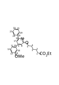 CCOC(=O)CCCCCOc1cc(-c2cccc(OC)c2)cc(-c2ccccc2)n1